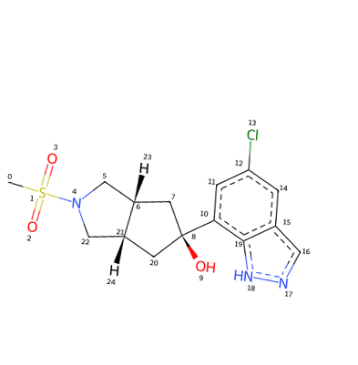 CS(=O)(=O)N1C[C@@H]2C[C@](O)(c3cc(Cl)cc4cn[nH]c34)C[C@@H]2C1